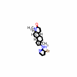 CN1C(=O)C=C[C@]2(C)[C@H]3CC[C@]4(C)[C@@H](Nc5ncccc5Br)CC[C@H]4[C@@H]3CC[C@@H]12